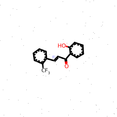 O=C(/C=C/c1ccccc1C(F)(F)F)c1ccccc1O